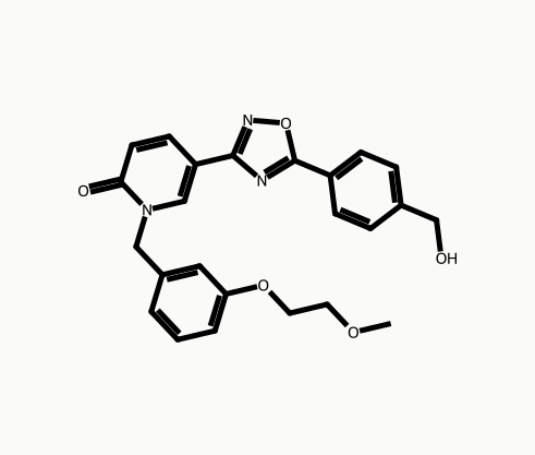 COCCOc1cccc(Cn2cc(-c3noc(-c4ccc(CO)cc4)n3)ccc2=O)c1